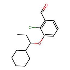 CCC(Oc1cccc(C=O)c1Cl)C1CCCCC1